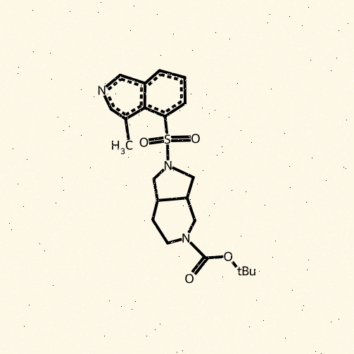 Cc1cncc2cccc(S(=O)(=O)N3CC4CCN(C(=O)OC(C)(C)C)CC4C3)c12